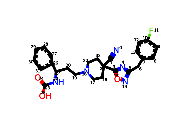 N#CC1(c2nc(Cc3ccc(F)cc3)no2)CCN(CCC(NC(=O)O)c2ccccc2)CC1